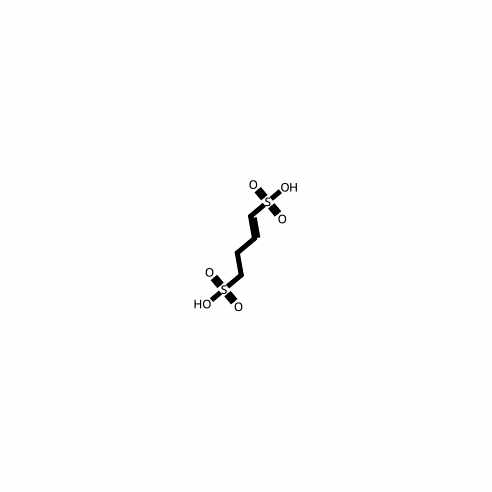 O=S(=O)(O)C=CCCS(=O)(=O)O